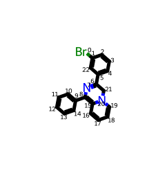 Brc1cccc(C2=NC(c3ccccc3)=C3C=CC=CN3C2)c1